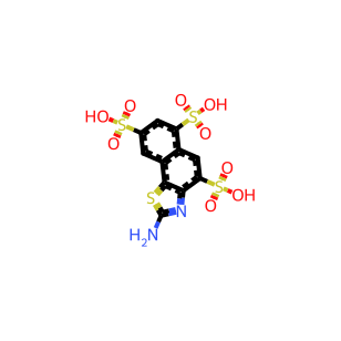 Nc1nc2c(S(=O)(=O)O)cc3c(S(=O)(=O)O)cc(S(=O)(=O)O)cc3c2s1